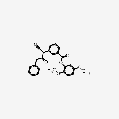 COc1ccc(OC)c(OC(=O)c2cccc(C(C#N)C(=O)Cc3ccccc3)c2)c1